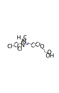 CCn1cc(-c2ccc(Cl)cc2Cl)nc1/C=C/c1ccc2cc(OCCCC(=O)O)ccc2c1